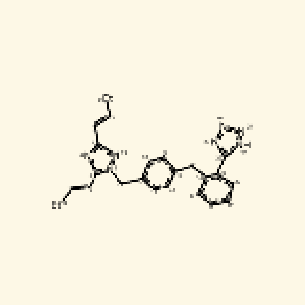 CCC=Cc1nc(C=CCC)n(Cc2ccc(Cc3ccccc3-c3nnn[nH]3)cc2)n1